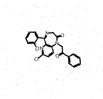 O=C(CN1C(=O)CN=C(c2ccccc2Cl)c2nc(Cl)ccc21)c1ccccc1